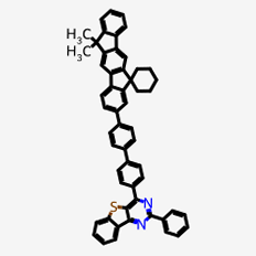 CC1(C)c2ccccc2-c2cc3c(cc21)-c1ccc(-c2ccc(-c4ccc(-c5nc(-c6ccccc6)nc6c5sc5ccccc56)cc4)cc2)cc1C31CCCCC1